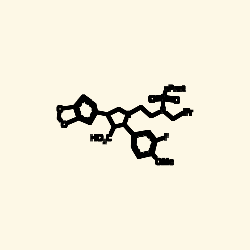 CCCCCS(=O)(=O)N(CCN1CC(c2ccc3c(c2)OCO3)C(C(=O)O)C1c1ccc(OC)c(F)c1)CC(C)C